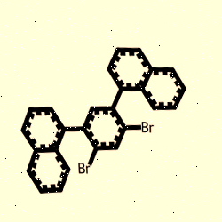 Brc1cc(Br)c(-c2cccc3ccccc23)cc1-c1cccc2ccccc12